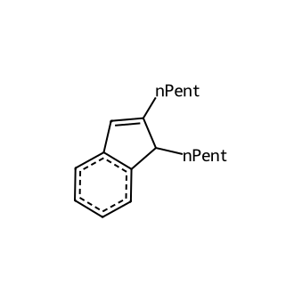 CCCCCC1=Cc2ccccc2C1CCCCC